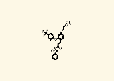 COCCOc1ccc(CCC(=O)NS(=O)(=O)c2ccccc2)c(Oc2ncc(C(F)(F)F)cc2Cl)c1